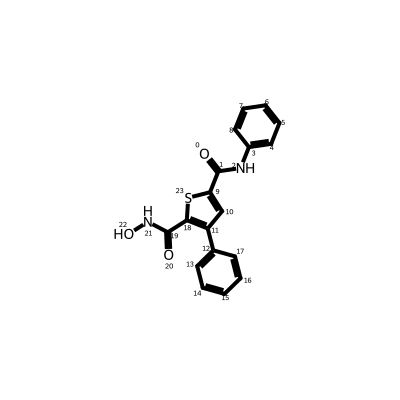 O=C(Nc1ccccc1)c1cc(-c2ccccc2)c(C(=O)NO)s1